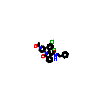 CC(=O)N1CCC(N2C(=O)c3ccccc3[C@@H](C(=O)NCCc3ccccc3)[C@@H]2c2ccc(Cl)cc2Cl)CC1